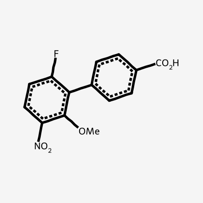 COc1c([N+](=O)[O-])ccc(F)c1-c1ccc(C(=O)O)cc1